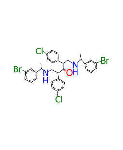 CC(NCC(C(=O)C(CNC(C)c1cccc(Br)c1)c1ccc(Cl)cc1)c1ccc(Cl)cc1)c1cccc(Br)c1